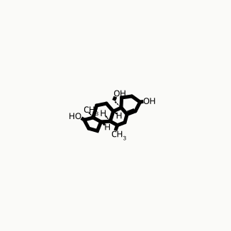 CC1CC2=CC(O)CC[C@]2(CO)[C@@H]2CC[C@]3(C)C(O)CC[C@H]3[C@H]12